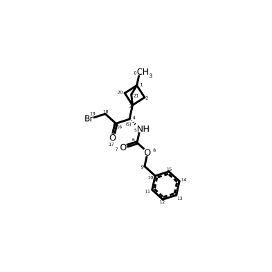 CC12CC([C@H](NC(=O)OCc3ccccc3)C(=O)CBr)(C1)C2